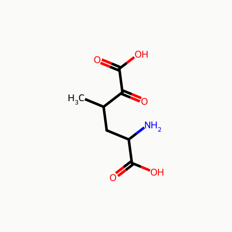 CC(CC(N)C(=O)O)C(=O)C(=O)O